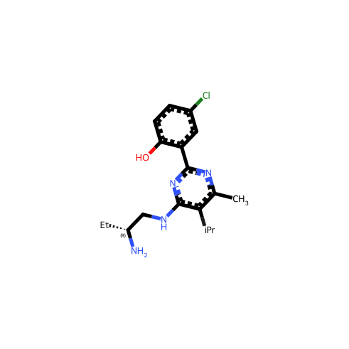 CC[C@@H](N)CNc1nc(-c2cc(Cl)ccc2O)nc(C)c1C(C)C